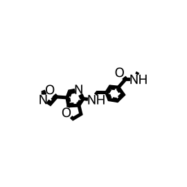 CNC(=O)c1cccc(CNc2ncc(-c3cnco3)c3c2CCO3)c1